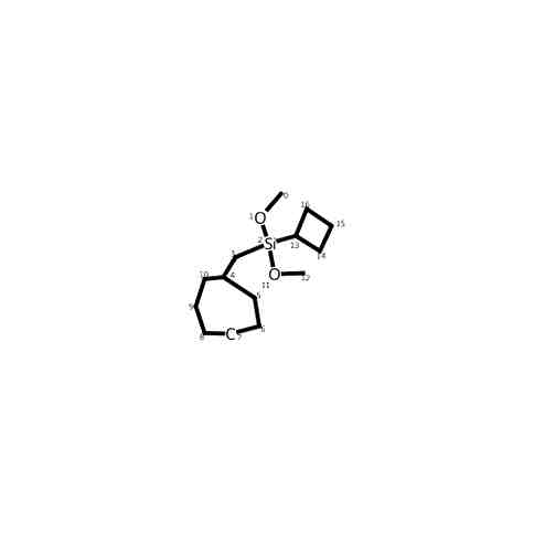 CO[Si]([CH]C1CCCCCC1)(OC)C1CCC1